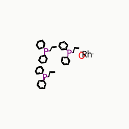 C=CCP(c1ccccc1)c1ccccc1.C=CCP(c1ccccc1)c1ccccc1.C=CCP(c1ccccc1)c1ccccc1.C=O.[Rh]